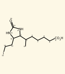 CC(CCCCC(=O)O)C1NC(=O)NC1CCI